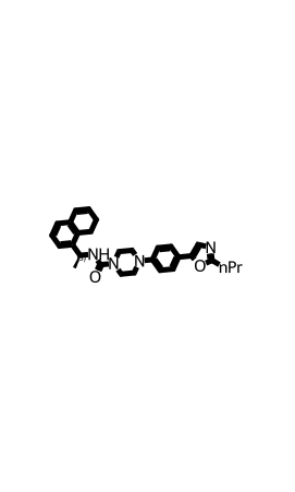 CCCc1ncc(-c2ccc(N3CCN(C(=O)N[C@@H](C)c4cccc5c4CCC=C5)CC3)cc2)o1